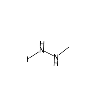 CNNI